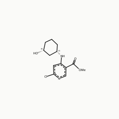 COC(=O)c1cnc(Cl)cc1N[C@H]1CCC[C@@H](O)C1